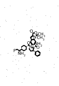 CC1(C)OC(=O)c2cc3cc([N+]4(C(=O)[C@H]5CC[C@H]([C@H](N)CF)CC5)CC[C@@H](c5ccccc5)[C@H]4C(N)=O)ccc3n21